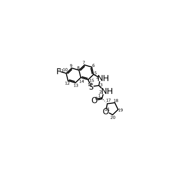 O=C(NC1Nc2ccc3cc(F)ccc3c2S1)[C@@H]1CCCO1